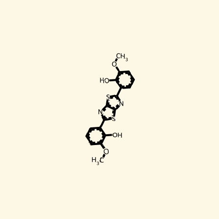 COc1cccc(-c2nc3sc(-c4cccc(OC)c4O)nc3s2)c1O